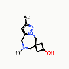 CC(=O)c1cc2n(n1)CC1(CC(O)C1)CN(C(C)C)C2